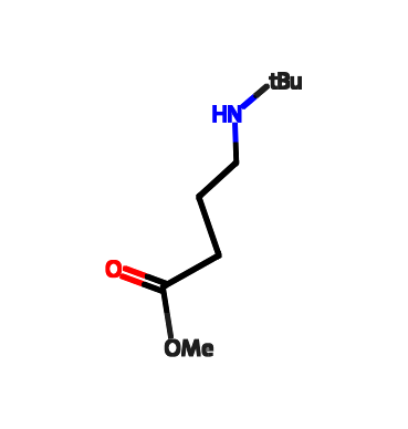 COC(=O)CCCNC(C)(C)C